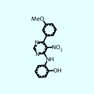 COc1cccc(-c2ncnc(Nc3ccccc3O)c2[N+](=O)[O-])c1